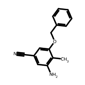 Cc1c(N)cc(C#N)cc1OCc1ccccc1